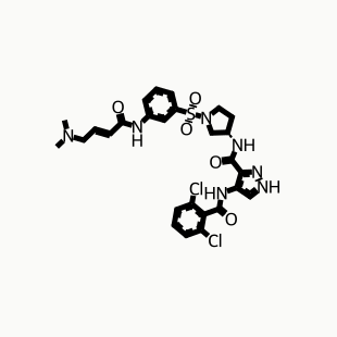 CN(C)C/C=C/C(=O)Nc1cccc(S(=O)(=O)N2CC[C@H](NC(=O)c3n[nH]cc3NC(=O)c3c(Cl)cccc3Cl)C2)c1